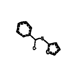 [O]C(Sc1ccco1)c1ccccc1